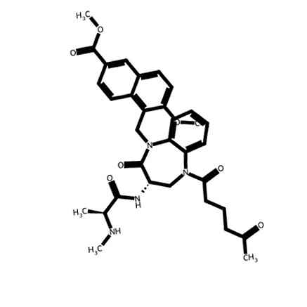 CN[C@@H](C)C(=O)N[C@H]1CN(C(=O)CCCC(C)=O)c2ccccc2N(Cc2c(OC)ccc3cc(C(=O)OC)ccc23)C1=O